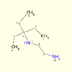 CCC(CC)(CC)NCCN